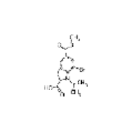 COC(=O)c1cc(Br)c2c(c1)CC(C(=O)O)N2C(C)C